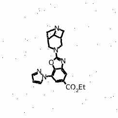 CCOC(=O)c1cc(-n2cccn2)c2oc(N3CC4CN5CC(C3)C45)nc2c1